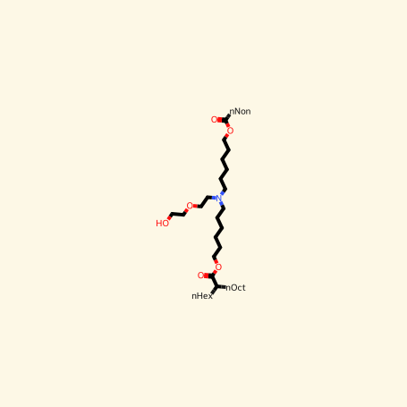 CCCCCCCCCC(=O)OCCCCCCN(CCCCCCOC(=O)C(CCCCCC)CCCCCCCC)CCOCCO